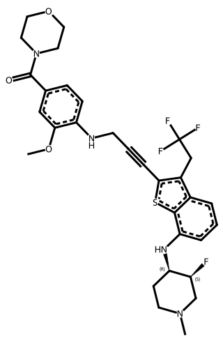 COc1cc(C(=O)N2CCOCC2)ccc1NCC#Cc1sc2c(N[C@@H]3CCN(C)C[C@@H]3F)cccc2c1CC(F)(F)F